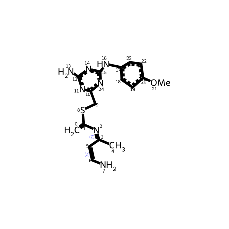 C=C(/N=C(C)\C=C/N)SCc1nc(N)nc(Nc2ccc(OC)cc2)n1